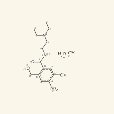 CCN(CC)CCNC(=O)c1cc(Cl)c(N)cc1CO.Cl.O